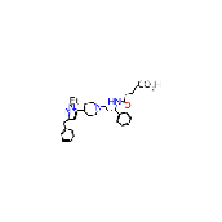 CCn1nc(Cc2ccccc2)cc1C1CCN(CC[C@H](NC(=O)CCCC(=O)O)c2ccccc2)CC1